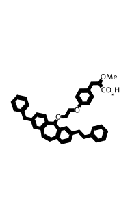 COC(Cc1ccc(OCCOC2c3ccc(Cc4ccccc4)cc3C=Cc3ccc(CCc4ccccc4)cc32)cc1)C(=O)O